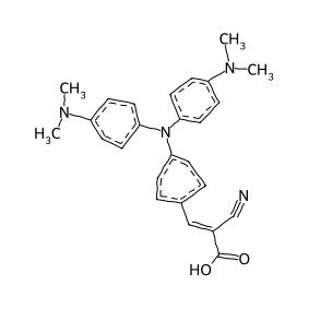 CN(C)c1ccc(N(c2ccc(/C=C(\C#N)C(=O)O)cc2)c2ccc(N(C)C)cc2)cc1